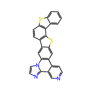 c1ccc2c(c1)sc1ccc3c4cc5c(cc4sc3c12)c1ccncc1c1nccn51